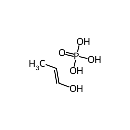 CC=CO.O=P(O)(O)O